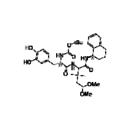 COC(CC(C)(C)C(NC(=O)[C@H](Cc1ccc(O)c(O)c1)NC(=O)OC(C)(C)C)C(=O)N[C@@H]1CCCc2ccccc21)OC